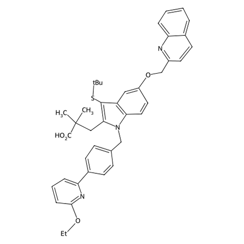 CCOc1cccc(-c2ccc(Cn3c(CC(C)(C)C(=O)O)c(SC(C)(C)C)c4cc(OCc5ccc6ccccc6n5)ccc43)cc2)n1